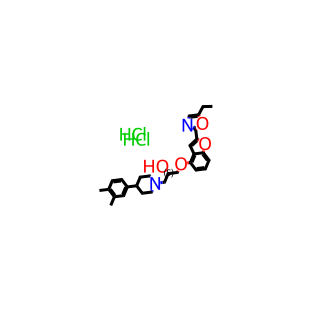 CCc1cnc(-c2cc3c(OC[C@@H](O)CN4CCC(c5ccc(C)c(C)c5)CC4)cccc3o2)o1.Cl.Cl